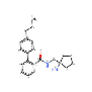 CCCc1ccc(-c2cc[c]cc2C(=O)NCC2(N)CCCC2)cc1